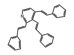 C(=Cc1ccnc(C=Cc2ccccc2)c1C=Cc1ccccc1)c1ccccc1